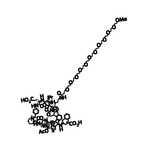 CC[C@H](C)[C@H](NC(=O)[C@H]1CCCC[N+]1(C)Cc1ccc(NC(=O)[C@H](CCC(=O)O)NC(=O)[C@@H](NC(=O)[C@H](CCCCNC(=O)CCOCCOCCOCCOCCOCCOCCOCCOCCOCCOCCOCCOC)NC(=O)OCC2c3ccccc3-c3ccccc32)C(C)C)cc1)C(=O)N(C)[C@H](C[C@@H](OC(C)=O)c1nc(C(=O)N[C@@H](Cc2ccccc2)C[C@H](C)C(=O)O)cs1)C(C)C